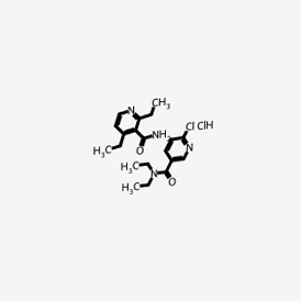 CCN(CC)C(=O)c1ccc(Cl)nc1.CCc1ccnc(CC)c1C(N)=O.Cl